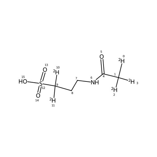 [2H]C([2H])([2H])C(=O)NCCC([2H])([2H])S(=O)(=O)O